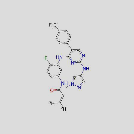 [2H]C([2H])=CC(=O)Nc1ccc(F)c(Nc2nc(Nc3cnn(C)c3)ncc2-c2ccc(C(F)(F)F)cc2)c1